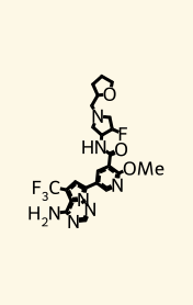 COc1ncc(-c2cc(C(F)(F)F)c3c(N)ncnn23)cc1C(=O)NC1CN(CC2CCCO2)CC1F